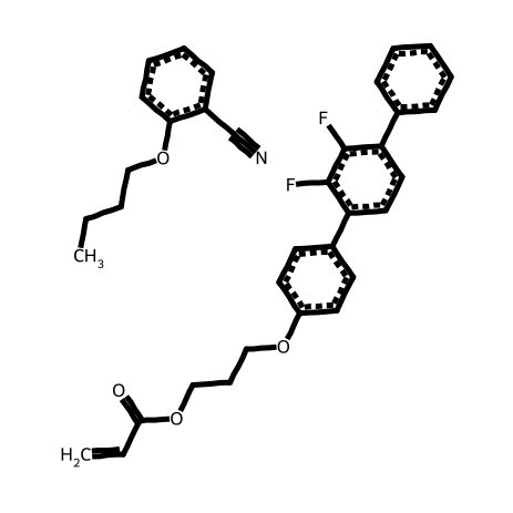 C=CC(=O)OCCCOc1ccc(-c2ccc(-c3ccccc3)c(F)c2F)cc1.CCCCOc1ccccc1C#N